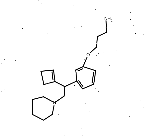 NCCCOc1cccc(C(CN2CCCCC2)C2=CCC2)c1